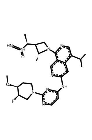 CO[C@H]1CCN(c2nccc(Nc3cc4c(C(C)C)cnc(N5CC([C@H](C)[SH](=N)=O)[C@H]5C)c4cn3)n2)C[C@H]1F